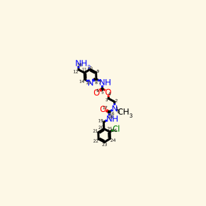 CN(CCOC(=O)Nc1ccc(CN)cn1)C(=O)NCc1ccccc1Cl